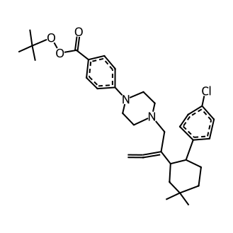 C=C=C(CN1CCN(c2ccc(C(=O)OOC(C)(C)C)cc2)CC1)C1CC(C)(C)CCC1c1ccc(Cl)cc1